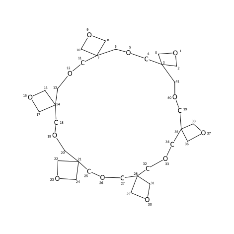 C1OCC12COCC1(COC1)COCC1(COC1)COCC1(COC1)COCC1(COC1)COCC1(COC1)COC2